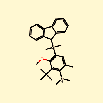 COc1c([Si](C)(C)C2c3ccccc3-c3ccccc32)cc(C)c([SiH](C)C)c1C(C)(C)C